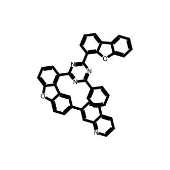 c1ccc(-c2nc(-c3cccc4c3oc3ccccc34)nc(-c3cccc4oc5ccc(-c6ccc7cccnc7c6)cc5c34)n2)cc1